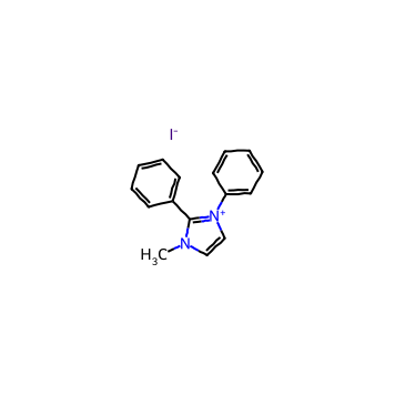 Cn1cc[n+](-c2ccccc2)c1-c1ccccc1.[I-]